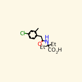 CCC(CC)(NC(=O)Cc1ccc(Cl)cc1C)C(=O)O